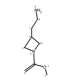 C=C(OC)N1CC(CCN)C1